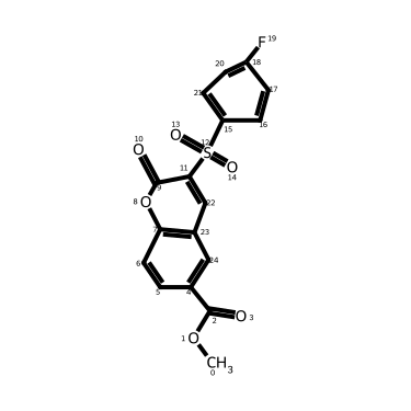 COC(=O)c1ccc2oc(=O)c(S(=O)(=O)c3ccc(F)cc3)cc2c1